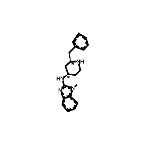 Cn1c(N[C@@H]2CCN[C@H](Cc3ccccc3)C2)nc2ccccc21